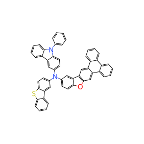 c1ccc(-n2c3ccccc3c3cc(N(c4ccc5oc6cc7c8ccccc8c8ccccc8c7cc6c5c4)c4ccc5sc6ccccc6c5c4)ccc32)cc1